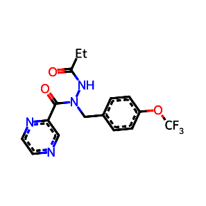 CCC(=O)NN(Cc1ccc(OC(F)(F)F)cc1)C(=O)c1cnccn1